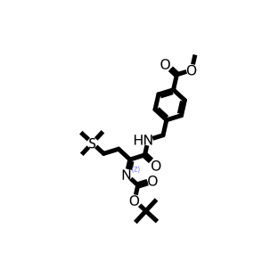 COC(=O)c1ccc(CNC(=O)/C(CCS(C)(C)C)=N\C(=O)OC(C)(C)C)cc1